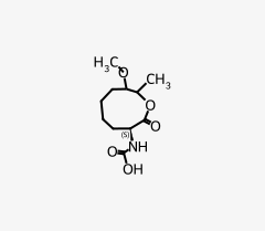 COC1CCCC[C@H](NC(=O)O)C(=O)OC1C